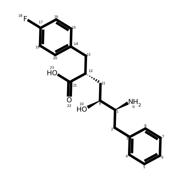 N[C@@H](Cc1ccccc1)[C@@H](O)C[C@@H](Cc1ccc(F)cc1)C(=O)O